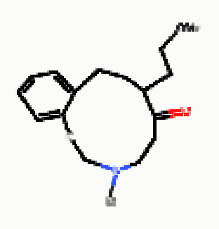 CCN1CCC(=O)C(CCOC)CCc2ccccc2CC1